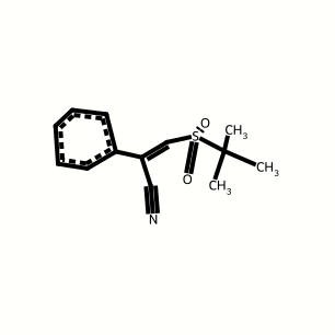 CC(C)(C)S(=O)(=O)C=C(C#N)c1ccccc1